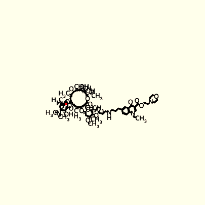 CC[C@@H]1OC(=O)[C@H](C)[C@H](O[C@@H]2C[C@](C)(OC)[C@H](OC(=O)CCNCCCc3ccc4c(c3)c(=O)c(C(=O)OCCN3CCOCC3)cn4CC)[C@H](C)O2)[C@@H](C)[C@H](O[C@@H]2O[C@H](C)C[C@H](N(C)C)[C@@H]2O)[C@](C)(OC)C[C@H](C)C(=O)[C@H](C)[C@@H](O)[C@]1(C)O